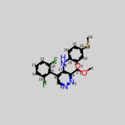 COC(=O)c1nncc(-c2c(F)cccc2F)c1Nc1ccc(SC)cc1